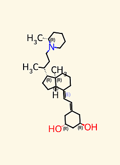 CC(CCN1CCCC[C@H]1C)[C@H]1CC[C@H]2/C(=C/C=C3C[C@@H](O)C[C@H](O)C3)CCC[C@]12C